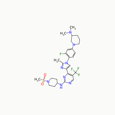 Cc1nc(-c2nc(NC3CCN(S(C)(=O)=O)CC3)ncc2C(F)(F)F)cn1-c1ccc(N2CCCC(N(C)C)C2)cc1F